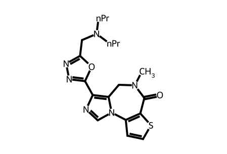 CCCN(CCC)Cc1nnc(-c2ncn3c2CN(C)C(=O)c2sccc2-3)o1